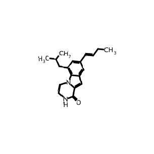 CCC=Cc1cc(CC(C)C)c2c(c1)cc1n2CCNC1=O